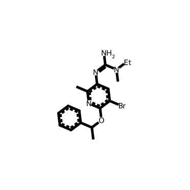 CCN(C)C(N)=Nc1cc(Br)c(OC(C)c2ccccc2)nc1C